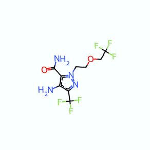 NC(=O)c1c(N)c(C(F)(F)F)nn1CCOCC(F)(F)F